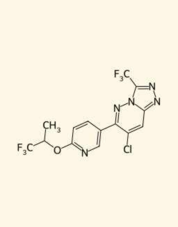 CC(Oc1ccc(-c2nn3c(C(F)(F)F)nnc3cc2Cl)cn1)C(F)(F)F